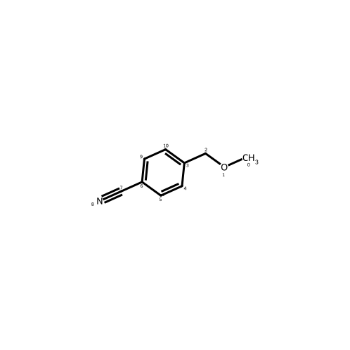 COCc1c[c]c(C#N)cc1